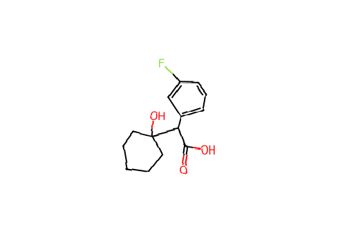 O=C(O)C(c1cccc(F)c1)C1(O)CCCCC1